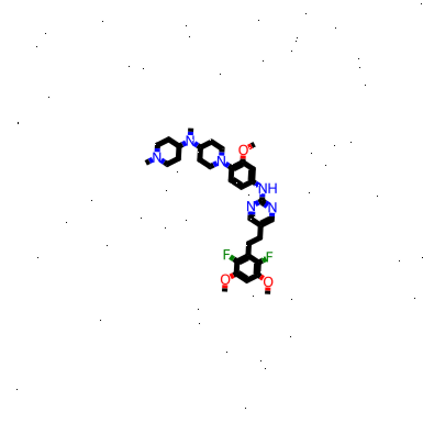 COc1cc(Nc2ncc(CCc3c(F)c(OC)cc(OC)c3F)cn2)ccc1N1CCC(N(C)C2CCN(C)CC2)CC1